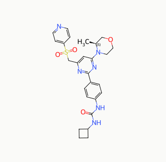 C[C@H]1COCCN1c1cc(CS(=O)(=O)c2ccncc2)nc(-c2ccc(NC(=O)NC3CCC3)cc2)n1